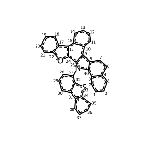 c1ccc2c(c1)ccc1c3c4ccccc4c4c5ccccc5oc4c3n(-c3cccc4c3sc3ccccc34)c21